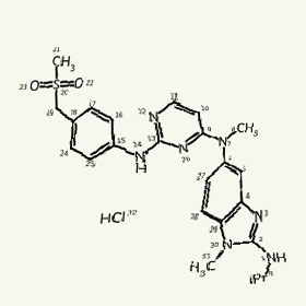 CC(C)Nc1nc2cc(N(C)c3ccnc(Nc4ccc(CS(C)(=O)=O)cc4)n3)ccc2n1C.Cl